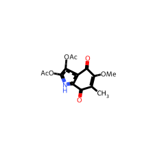 COC1=C(C)C(=O)c2[nH]c(OC(C)=O)c(OC(C)=O)c2C1=O